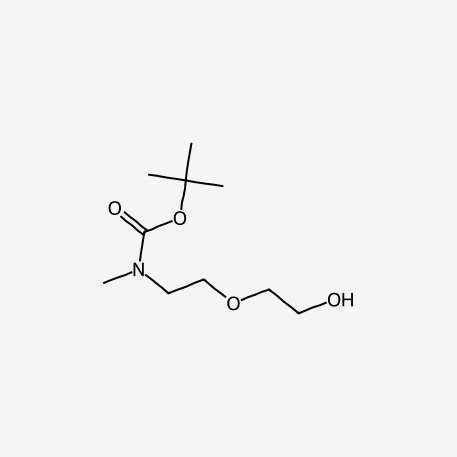 CN(CCOCCO)C(=O)OC(C)(C)C